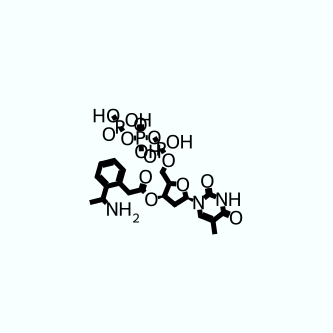 Cc1cn([C@H]2C[C@@H](OC(=O)Cc3ccccc3C(C)N)C(COP(=O)(O)OP(=O)(O)OP(=O)(O)O)O2)c(=O)[nH]c1=O